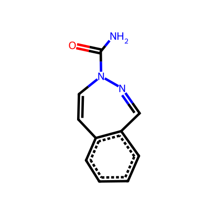 NC(=O)N1C=Cc2ccccc2C=N1